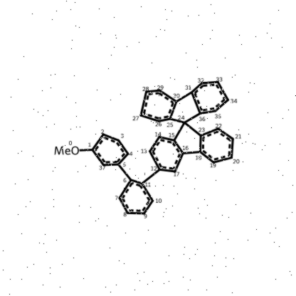 COc1cccc(-c2ccccc2-c2ccc3c(c2)-c2ccccc2C32c3ccccc3-c3ccccc32)c1